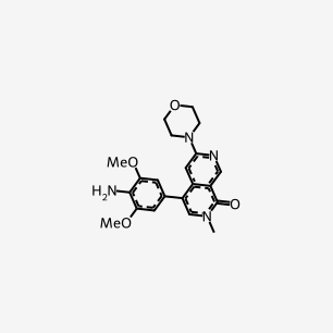 COc1cc(-c2cn(C)c(=O)c3cnc(N4CCOCC4)cc23)cc(OC)c1N